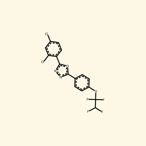 FC(F)C(F)(F)Oc1ccc(-c2nnc(-c3ccc(Cl)cc3Cl)o2)cc1